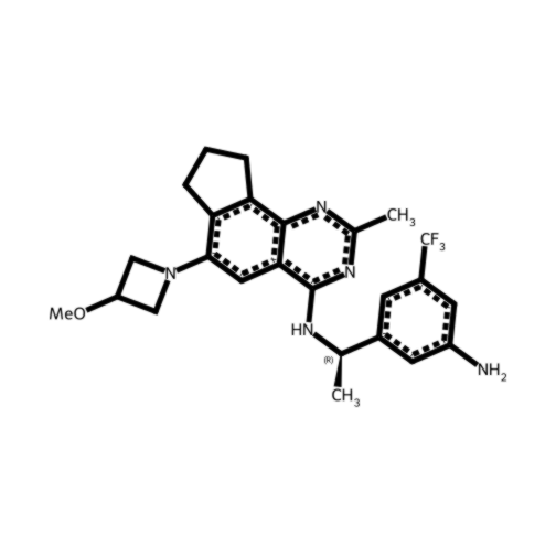 COC1CN(c2cc3c(N[C@H](C)c4cc(N)cc(C(F)(F)F)c4)nc(C)nc3c3c2CCC3)C1